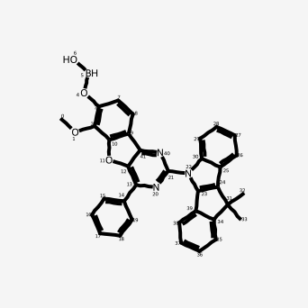 COc1c(OBO)ccc2c1oc1c(-c3ccccc3)nc(-n3c4c(c5ccccc53)C(C)(C)c3ccccc3-4)nc12